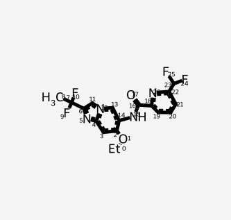 CCOc1cc2nc(C(C)(F)F)cn2cc1NC(=O)c1cccc(C(F)F)n1